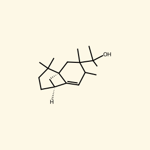 CC1C=C2[C@H]3CCC(C)(C)[C@@]2(C3)CC1(C)C(C)(C)O